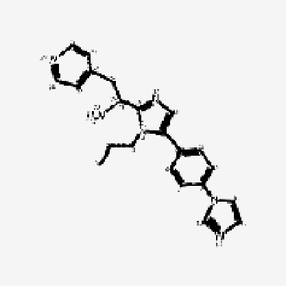 CCCn1c(-c2ccc(-n3ccnc3)cc2)cnc1[C@@H](N)Cc1ccncc1